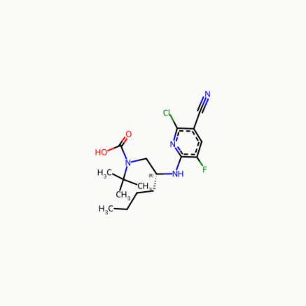 CCCC[C@H](CN(C(=O)O)C(C)(C)C)Nc1nc(Cl)c(C#N)cc1F